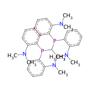 CC(P(c1ccccc1N(C)C)c1ccccc1N(C)C)P(c1ccccc1N(C)C)c1ccccc1N(C)C